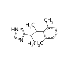 Cc1cccc(C)c1C(C)C(C)c1c[nH]cn1